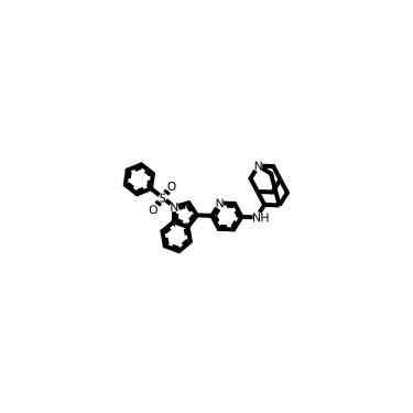 O=S(=O)(c1ccccc1)n1cc(-c2ccc(NC3C4CC5CC3CN(C5)C4)cn2)c2ccccc21